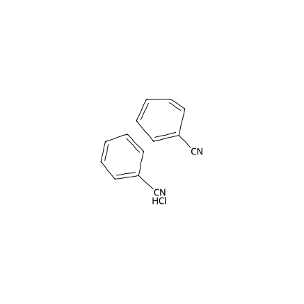 Cl.N#Cc1ccccc1.N#Cc1ccccc1